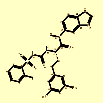 Cc1ccccc1S(=O)(=O)NC(=O)N[C@@H](CCc1cc(F)cc(F)c1)C(=O)N(C)c1ccc2scnc2c1